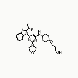 OCCCO[C@H]1CC[C@H](Nc2cc(-n3c(C(F)F)nc4ccccc43)nc(N3CCOCC3)n2)CC1